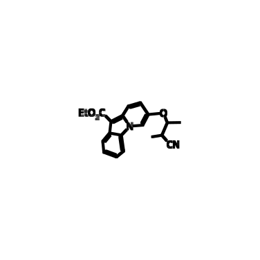 CCOC(=O)c1c2ccccc2n2cc(OC(C)C(C)C#N)ccc12